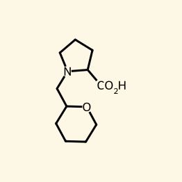 O=C(O)C1CCCN1CC1CCCCO1